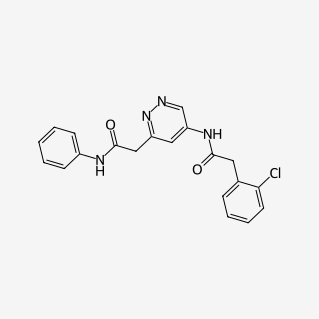 O=C(Cc1cc(NC(=O)Cc2ccccc2Cl)cnn1)Nc1ccccc1